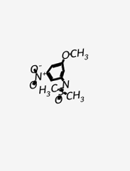 COc1cc(N=S(C)(C)=O)cc([N+](=O)[O-])c1